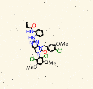 C=CC(=O)Nc1ccccc1Nc1ncc2c(n1)N(Cc1ccc(Cl)c(OC)c1)C(=O)N(c1c(Cl)c(OC)cc(OC)c1Cl)C2